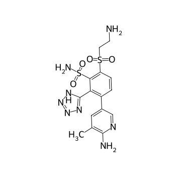 Cc1cc(-c2ccc(S(=O)(=O)CCN)c(S(N)(=O)=O)c2-c2nnn[nH]2)cnc1N